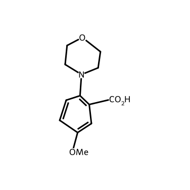 COc1ccc(N2CCOCC2)c(C(=O)O)c1